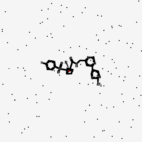 O=C(NCc1cc(-c2cnc(C(F)(F)F)nc2)ncn1)[C@@H]1C2CC(C2)N1S(=O)(=O)c1ccc(F)cc1